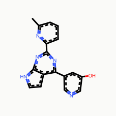 Cc1cccc(-c2nc(-c3cncc(O)c3)c3cc[nH]c3n2)n1